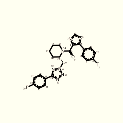 O=C(c1ncsc1-c1ccc(F)cc1)N1CCCC[C@H]1Cn1nnc(-c2ccc(F)cc2)n1